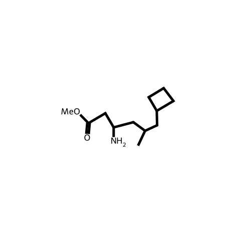 COC(=O)CC(N)CC(C)CC1CCC1